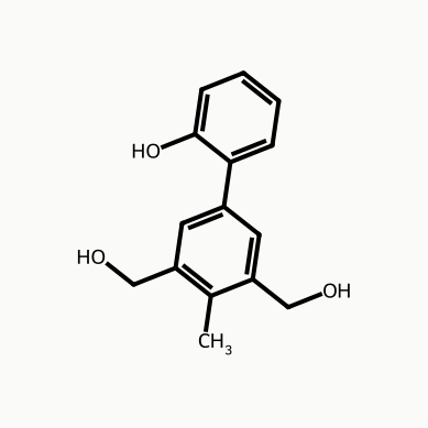 Cc1c(CO)cc(-c2ccccc2O)cc1CO